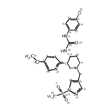 COc1ccc([C@@H]2CN(Cc3cnn(S(C)(=O)=O)c3)CC[C@H]2NC(=O)Nc2ccc(Cl)cc2)nc1